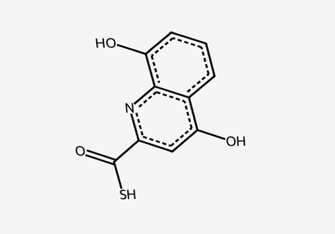 O=C(S)c1cc(O)c2cccc(O)c2n1